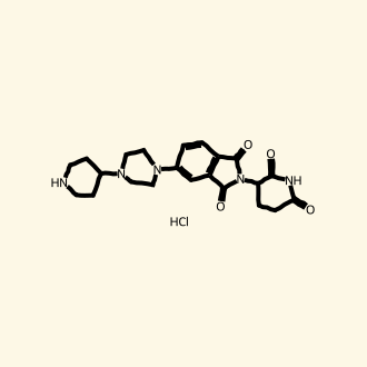 Cl.O=C1CCC(N2C(=O)c3ccc(N4CCN(C5CCNCC5)CC4)cc3C2=O)C(=O)N1